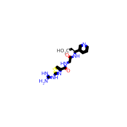 N=C(N)Nc1nc(C(=O)NCC(=O)N[C@@H](CC(=O)O)c2cccnc2)cs1